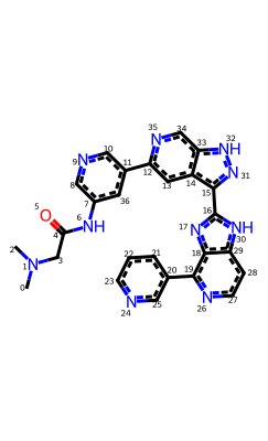 CN(C)CC(=O)Nc1cncc(-c2cc3c(-c4nc5c(-c6cccnc6)nccc5[nH]4)n[nH]c3cn2)c1